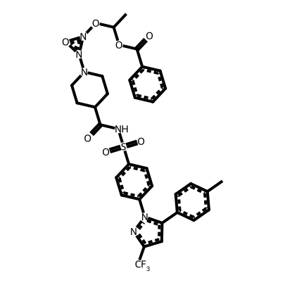 Cc1ccc(-c2cc(C(F)(F)F)nn2-c2ccc(S(=O)(=O)NC(=O)C3CCN(n4on4OC(C)OC(=O)c4ccccc4)CC3)cc2)cc1